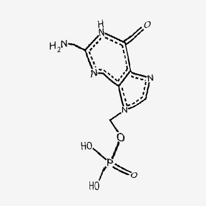 Nc1nc2c(ncn2COP(=O)(O)O)c(=O)[nH]1